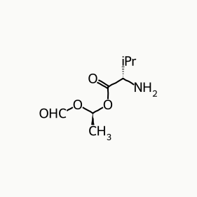 CC(C)[C@H](N)C(=O)O[C@@H](C)OC=O